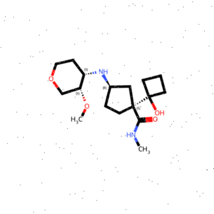 CNC(=O)[C@@]1(C2(O)CCC2)CC[C@@H](N[C@H]2CCOC[C@H]2OC)C1